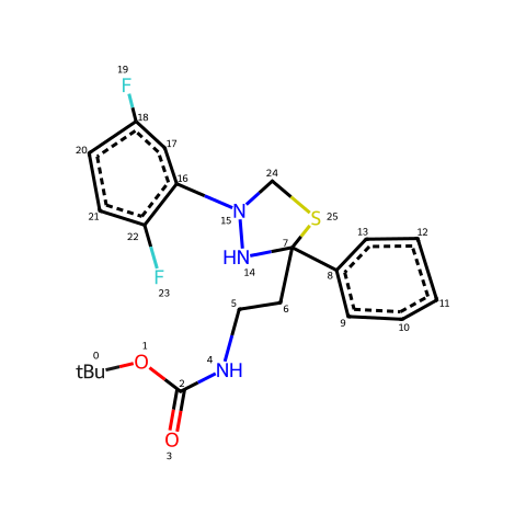 CC(C)(C)OC(=O)NCCC1(c2ccccc2)NN(c2cc(F)ccc2F)CS1